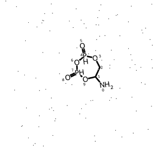 NC1CO[PH](=O)O[PH](=O)O1